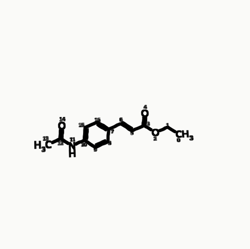 CCOC(=O)C=Cc1ccc(NC(C)=O)cc1